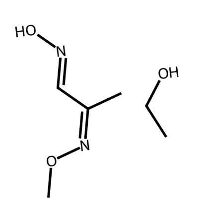 CCO.CON=C(C)C=NO